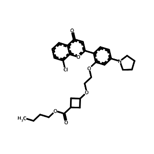 CCCCOC(=O)C1CC(OCCOc2cc(N3CCCC3)ccc2-c2cc(=O)c3cccc(Cl)c3o2)C1